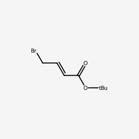 CC(C)(C)OC(=O)C=CCBr